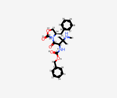 CNC(C)(C)C(NC(=O)OCc1ccccc1)C(=O)N1C(=O)OC[C@H]1Cc1ccccc1